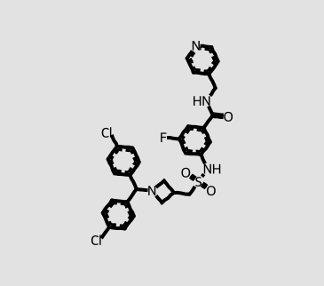 O=C(NCc1ccncc1)c1cc(F)cc(NS(=O)(=O)CC2CN(C(c3ccc(Cl)cc3)c3ccc(Cl)cc3)C2)c1